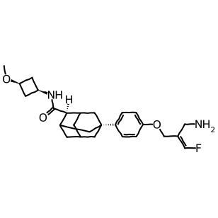 CO[C@H]1C[C@@H](NC(=O)[C@H]2C3CC4CC2C[C@](c2ccc(OC/C(=C/F)CN)cc2)(C4)C3)C1